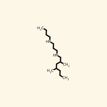 CCCCNCCCNCC(C)CC(C)CCC